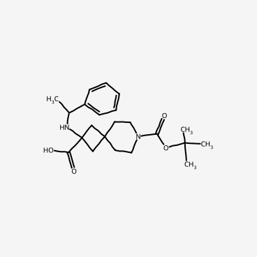 CC(NC1(C(=O)O)CC2(CCN(C(=O)OC(C)(C)C)CC2)C1)c1ccccc1